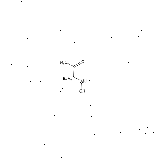 CC(=O)[CH2][AlH][OH].[BaH2]